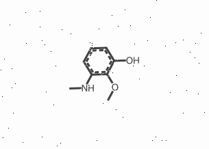 CNc1cccc(O)c1OC